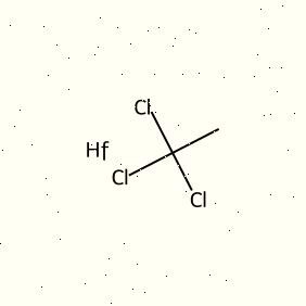 CC(Cl)(Cl)Cl.[Hf]